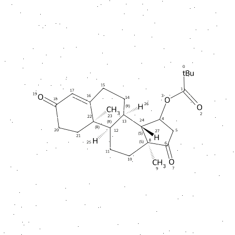 CC(C)(C)C(=O)OC1CC(=O)[C@@]2(C)CC[C@@H]3[C@@H](CCC4=CC(=O)CC[C@@]43C)[C@H]12